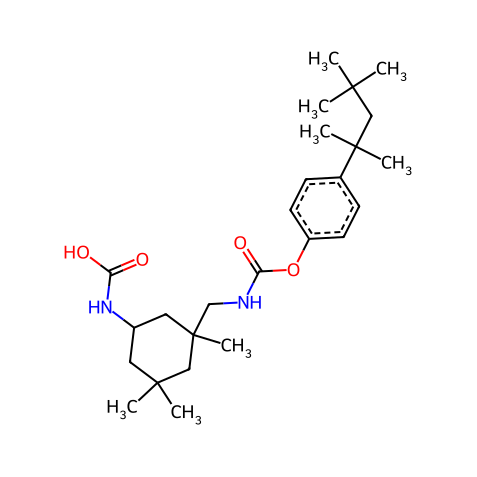 CC(C)(C)CC(C)(C)c1ccc(OC(=O)NCC2(C)CC(NC(=O)O)CC(C)(C)C2)cc1